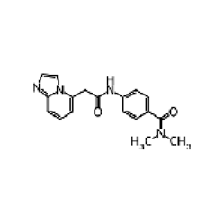 CN(C)C(=O)c1ccc(NC(=O)Cc2cccc3nccn23)cc1